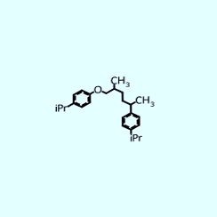 CC(CCC(C)c1ccc(C(C)C)cc1)COc1ccc(C(C)C)cc1